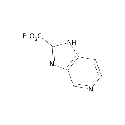 CCOC(=O)c1nc2cnccc2[nH]1